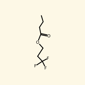 CCCC(=O)OCCC(F)(F)F